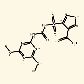 COc1nc(NC(=O)NS(=O)(=O)c2cscc2C(=O)O)nc(OC)n1